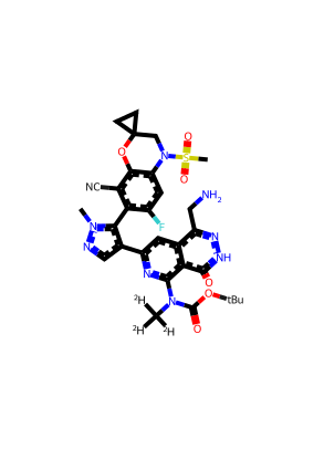 [2H]C([2H])([2H])N(C(=O)OC(C)(C)C)c1nc(-c2cnn(C)c2-c2c(F)cc3c(c2C#N)OC2(CC2)CN3S(C)(=O)=O)cc2c(CN)n[nH]c(=O)c12